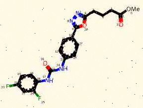 COC(=O)CCCc1nnc(-c2ccc(NC(=O)Nc3ccc(F)cc3F)cc2)o1